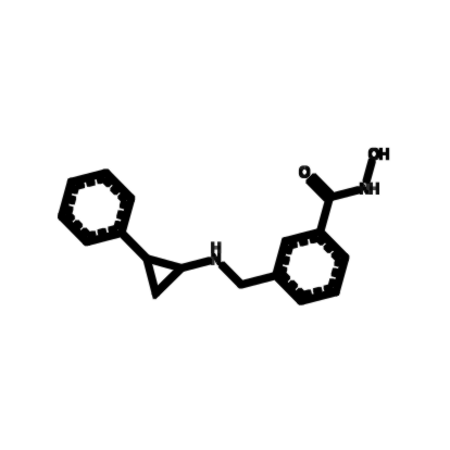 O=C(NO)c1cccc(CNC2CC2c2ccccc2)c1